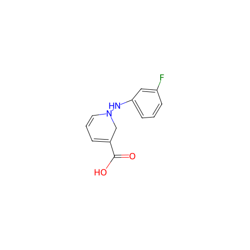 O=C(O)C1=CC=CN(Nc2cccc(F)c2)C1